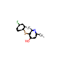 Cc1cc(O)c(Sc2ccc(F)cc2)c(C)n1